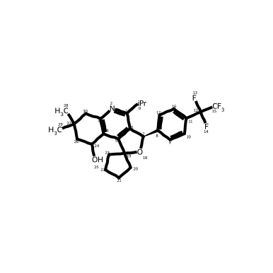 CC(C)c1nc2c(c3c1[C@@H](c1ccc(C(F)(F)C(F)(F)F)cc1)OC31CCCC1)C(O)CC(C)(C)C2